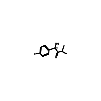 CC(C)C(=O)[C@H](O)c1ccc(F)cc1